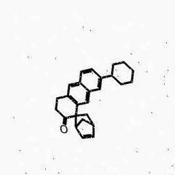 O=C1CCc2cc3ccc(C4CCCCC4)cc3cc2C12CC1C=CC2C1